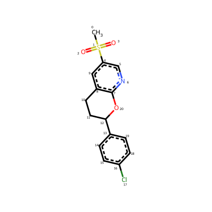 CS(=O)(=O)c1cnc2c(c1)CCC(c1ccc(Cl)cc1)O2